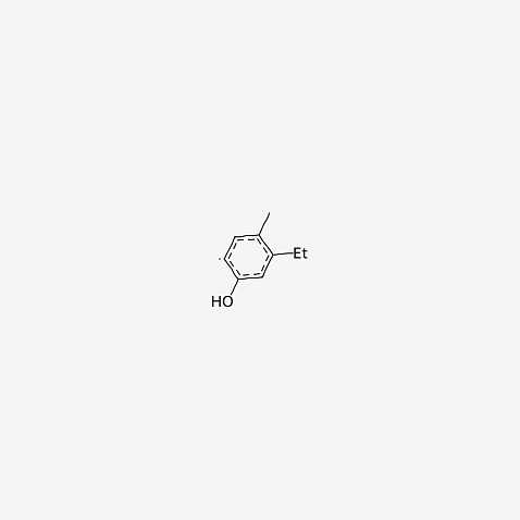 CCc1cc(O)[c]cc1C